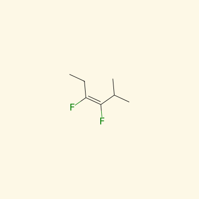 CC/C(F)=C(/F)C(C)C